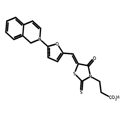 O=C(O)CCN1C(=O)C(=Cc2ccc(N3C=Cc4ccccc4C3)o2)SC1=S